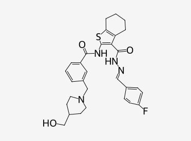 O=C(Nc1sc2c(c1C(=O)NN=Cc1ccc(F)cc1)CCCC2)c1cccc(CN2CCC(CO)CC2)c1